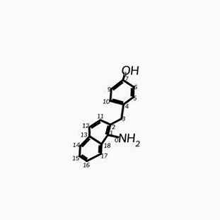 Nc1c(Cc2ccc(O)cc2)ccc2ccccc12